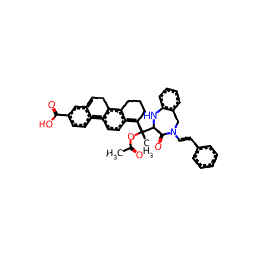 CC(=O)OC(C)(C1=c2ccc3c(c2CCC1)CC=c1cc(C(=O)O)ccc1=3)C1Nc2ccccc2CN(C=Cc2ccccc2)C1=O